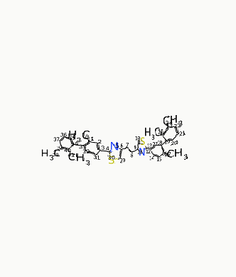 Cc1cc(-c2nc(CCc3csc(-c4ccc(C)c(-c5cccc(C)c5C)c4)n3)cs2)ccc1-c1cccc(C)c1C